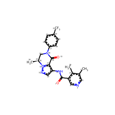 Cc1cncc(C(=O)Nc2cnn3c2C(=O)N(c2ccc(C(F)(F)F)cc2)C[C@@H]3C)c1C